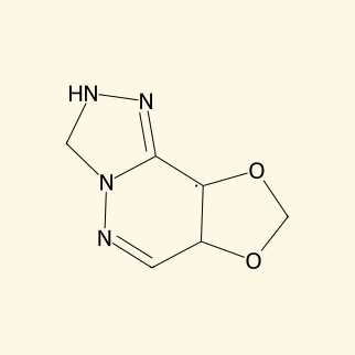 C1=NN2CNN=C2[C]2OCOC12